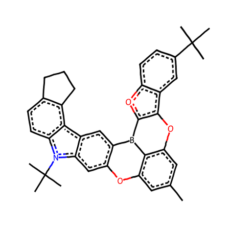 Cc1cc2c3c(c1)Oc1c(oc4ccc(C(C)(C)C)cc14)B3c1cc3c4c5c(ccc4n(C(C)(C)C)c3cc1O2)CCC5